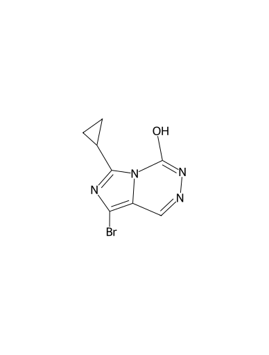 Oc1nncc2c(Br)nc(C3CC3)n12